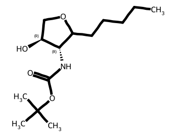 CCCCCC1OC[C@H](O)[C@H]1NC(=O)OC(C)(C)C